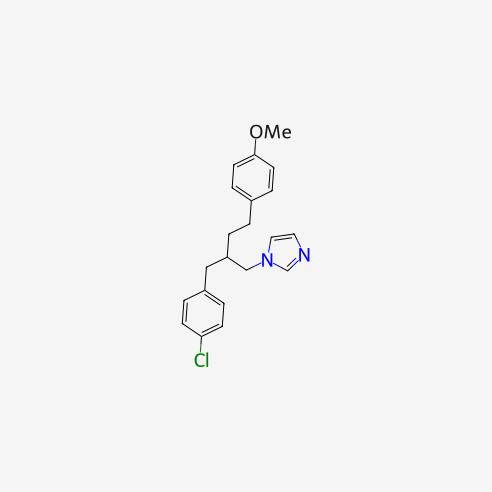 COc1ccc(CCC(Cc2ccc(Cl)cc2)Cn2ccnc2)cc1